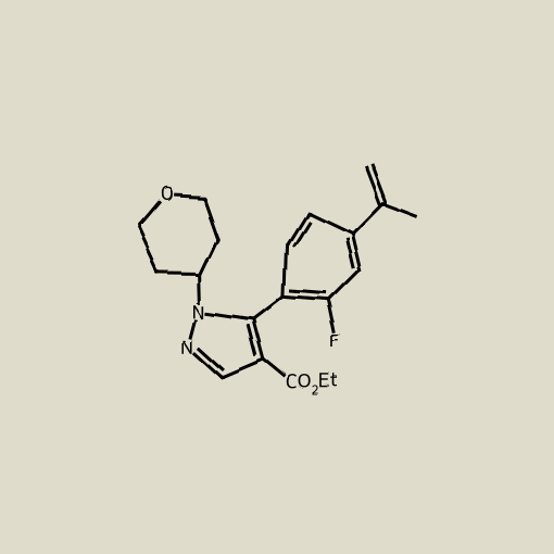 C=C(C)c1ccc(-c2c(C(=O)OCC)cnn2C2CCOCC2)c(F)c1